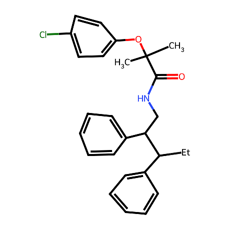 CCC(c1ccccc1)C(CNC(=O)C(C)(C)Oc1ccc(Cl)cc1)c1ccccc1